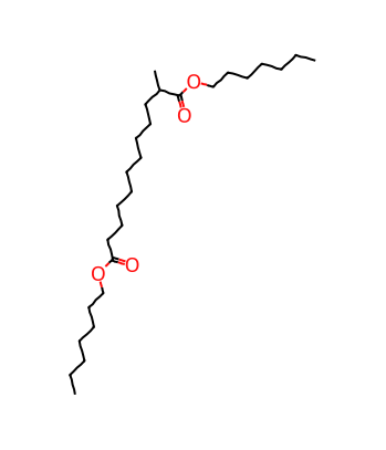 CCCCCCCOC(=O)CCCCCCCCCC(C)C(=O)OCCCCCCC